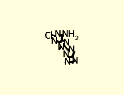 Cn1cnc2cnc(-c3nc4c(N)nc(Cl)nc4n3C)nc21